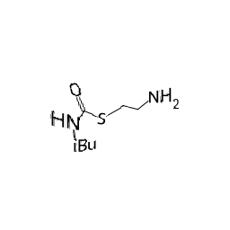 CCC(C)NC(=O)SCCN